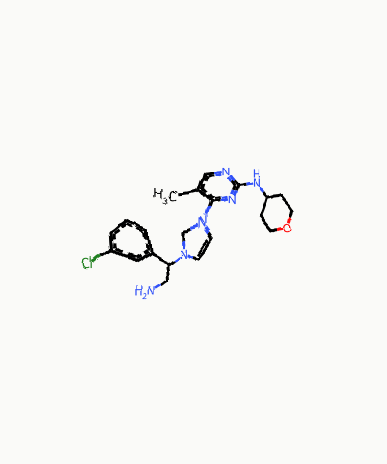 Cc1cnc(NC2CCOCC2)nc1N1C=CN(C(CN)c2cccc(Cl)c2)C1